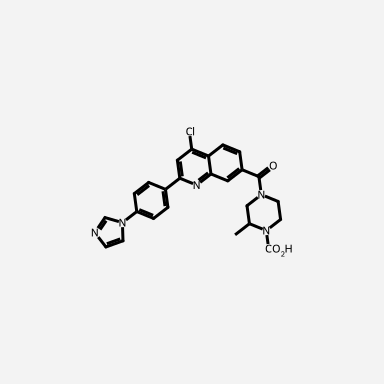 CC1CN(C(=O)c2ccc3c(Cl)cc(-c4ccc(-n5ccnc5)cc4)nc3c2)CCN1C(=O)O